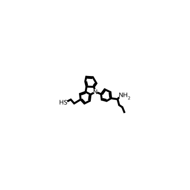 CCCC(N)c1ccc(-n2c3ccccc3c3cc(CCS)ccc32)cc1